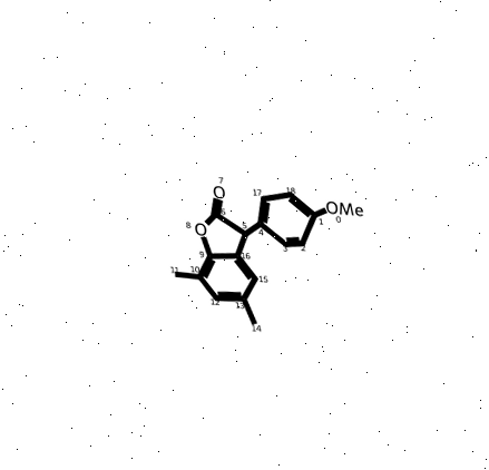 COc1ccc(C2C(=O)Oc3c(C)cc(C)cc32)cc1